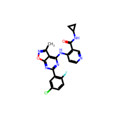 Cc1noc2nc(-c3cc(Cl)ccc3F)nc(Nc3ccncc3C(=O)NC3CC3)c12